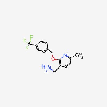 Cc1ccc(CN)c(OCc2ccc(C(F)(F)F)cc2)n1